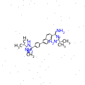 C=N/C=C(\NC(N)C(C)C)c1ccc(-c2ccc3cc(/C(=C/N)N4CC4(N)C(C)C)ccc3c2)cc1